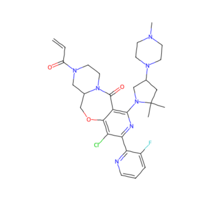 C=CC(=O)N1CCN2C(=O)c3c(N4CC(N5CCN(C)CC5)CC4(C)C)nc(-c4ncccc4F)c(Cl)c3OCC2C1